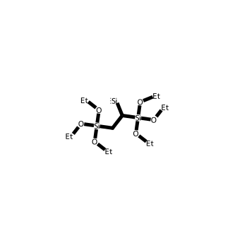 CCO[Si](CC([Si])[Si](OCC)(OCC)OCC)(OCC)OCC